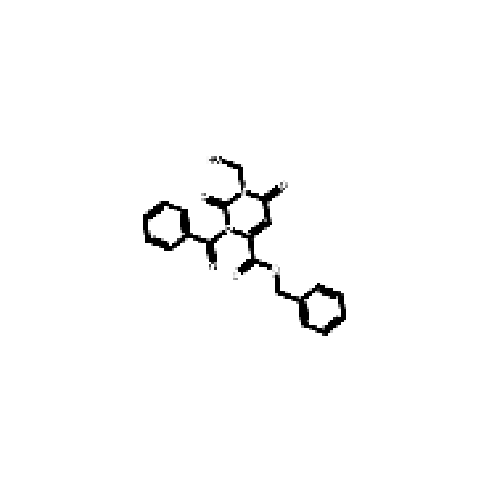 O=C(OCc1ccccc1)c1cc(=O)n(CO)c(=O)n1C(=O)c1ccccc1